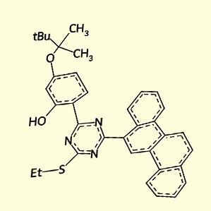 CCSc1nc(-c2ccc(OC(C)(C)C(C)(C)C)cc2O)nc(-c2cc3c4ccccc4ccc3c3ccccc23)n1